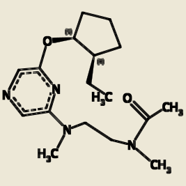 CC[C@@H]1CCC[C@@H]1Oc1cncc(N(C)CCN(C)C(C)=O)n1